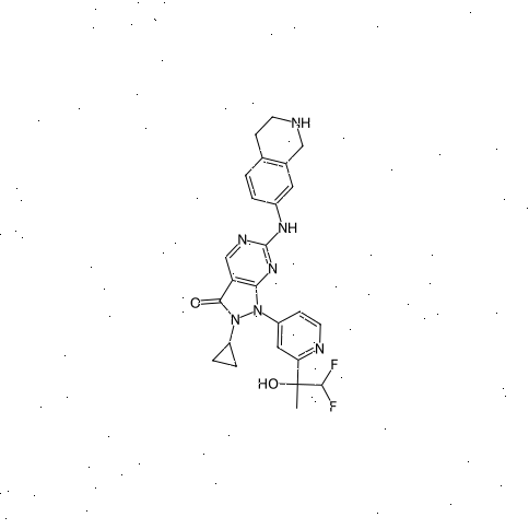 CC(O)(c1cc(-n2c3nc(Nc4ccc5c(c4)CNCC5)ncc3c(=O)n2C2CC2)ccn1)C(F)F